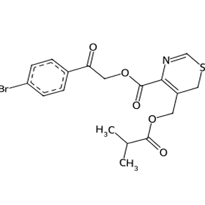 CC(C)C(=O)OCC1=C(C(=O)OCC(=O)c2ccc(Br)cc2)N=CSC1